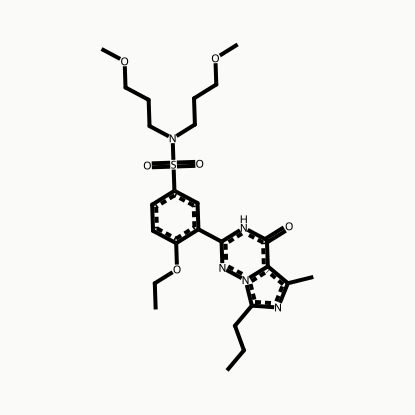 CCCc1nc(C)c2c(=O)[nH]c(-c3cc(S(=O)(=O)N(CCCOC)CCCOC)ccc3OCC)nn12